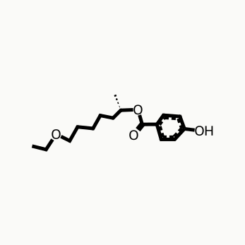 CCOCCCCC[C@H](C)OC(=O)c1ccc(O)cc1